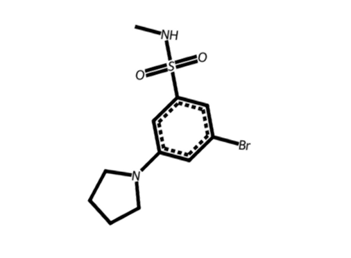 CNS(=O)(=O)c1cc(Br)cc(N2CCCC2)c1